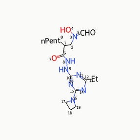 CCCCCC(CN(O)C=O)C(=O)NNc1nc(CC)nc(N2CCC2)n1